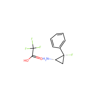 N[C@H]1C[C@]1(F)c1ccccc1.O=C(O)C(F)(F)F